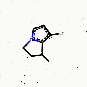 CCc1ccn2c1C(C)CC2